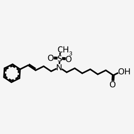 CS(=O)(=O)N(CC/C=C/c1ccccc1)CCCCCCC(=O)O